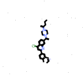 C=C(CCC)N1CCN(C(=C)c2ccc3c(Cl)cc(-c4ccc(C)c(/C=C\C)c4)nc3c2)CC1